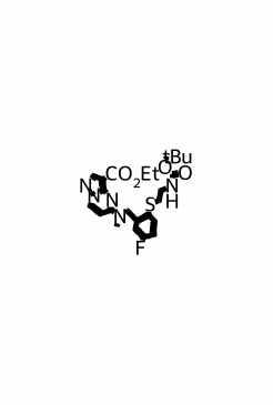 CCOC(=O)c1cnn2ccc(N(C)Cc3cc(F)ccc3SCCNC(=O)OC(C)(C)C)nc12